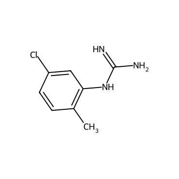 Cc1ccc(Cl)cc1NC(=N)N